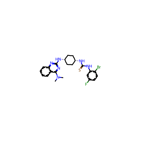 CN(C)c1nc(N[C@H]2CC[C@@H](NC(=S)Nc3cc(F)ccc3Br)CC2)nc2ccccc12